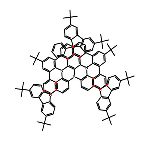 CC(C)(C)c1ccc2c(c1)-c1cc(C(C)(C)C)ccc1C2(c1ccccc1)c1cc2c3c(c1)N(c1c(-c4ccccc4)cc(C(C)(C)C)cc1-c1ccccc1)c1cc(-n4c5ccc(C(C)(C)C)cc5c5cc(C(C)(C)C)ccc54)ccc1B3c1ccc(-n3c4ccc(C(C)(C)C)cc4c4cc(C(C)(C)C)ccc43)cc1N2c1c(-c2ccccc2)cc(C(C)(C)C)cc1-c1ccccc1